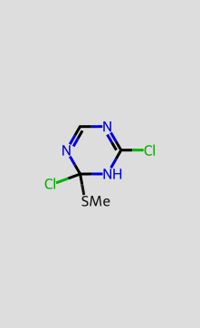 CSC1(Cl)N=CN=C(Cl)N1